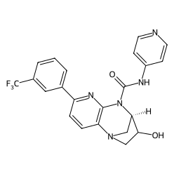 O=C(Nc1ccncc1)N1c2nc(-c3cccc(C(F)(F)F)c3)ccc2N2CC(O)[C@H]1C2